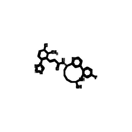 CC1C(/C=C/C(=O)N[C@H]2CCCCC(O)Nc3cc(F)ccc3-c3ccnc2c3)=C(n2cnnn2)C=CC1Cl